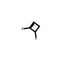 FC1=[C]CC1F